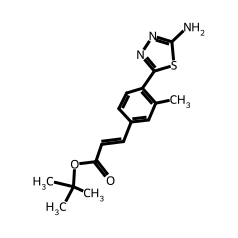 Cc1cc(C=CC(=O)OC(C)(C)C)ccc1-c1nnc(N)s1